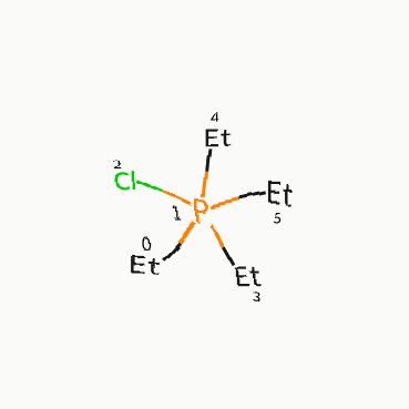 CCP(Cl)(CC)(CC)CC